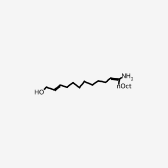 CCCCCCCC/C(N)=C\CCCCCCCC=CCO